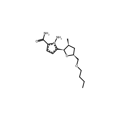 CCCCOC[C@@H]1C[C@H](C)[C@H](c2ccc(C(N)=O)n2N)O1